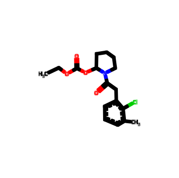 CCOC(=O)OC1CCCCN1C(=O)Cc1cccc(C)c1Cl